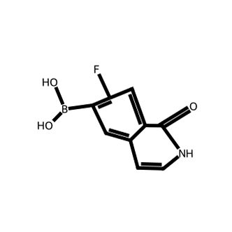 O=c1[nH]ccc2cc(B(O)O)c(F)cc12